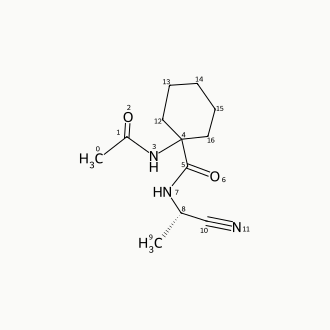 CC(=O)NC1(C(=O)N[C@@H](C)C#N)CCCCC1